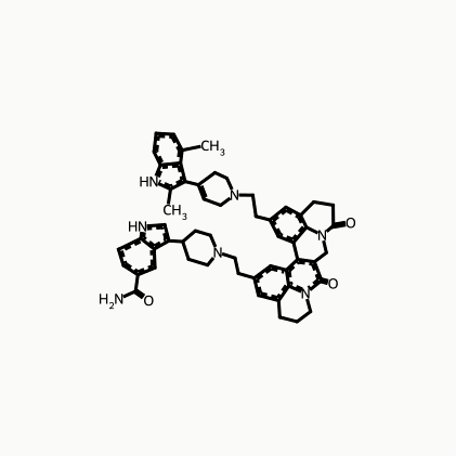 Cc1[nH]c2cccc(C)c2c1C1=CCN(CCc2cc3c4c(c2)-c2c(c(=O)n5c6c(cc(CCN7CCC(c8c[nH]c9ccc(C(N)=O)cc89)CC7)cc26)CCC5)CN4C(=O)CC3)CC1